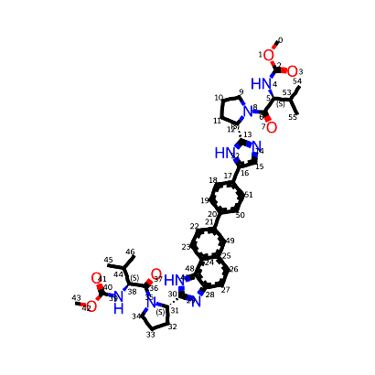 COC(=O)N[C@H](C(=O)N1CCC[C@H]1c1ncc(-c2ccc(-c3ccc4c(ccc5nc([C@@H]6CCCN6C(=O)[C@@H](NC(=O)OC)C(C)C)[nH]c54)c3)cc2)[nH]1)C(C)C